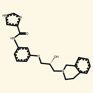 O=C(Nc1cccc(OC[C@H](O)CN2CCc3ccccc3C2)c1)c1c[nH]cn1